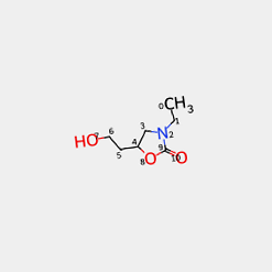 CCN1CC(CCO)OC1=O